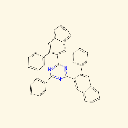 c1ccc(-c2nc(-c3cc4ccccc4cc3-c3ccccc3)nc(-c3cc4ccccc4cc3-c3ccccc3)n2)cc1